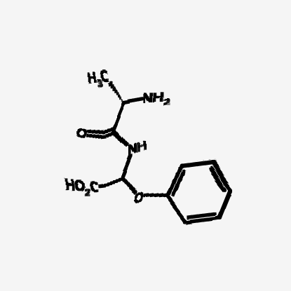 C[C@H](N)C(=O)NC(Oc1ccccc1)C(=O)O